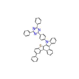 c1ccc(-c2ccc3sc4c(c3c2)c2ccccc2c2c3ccccc3n(-c3ccc(-c5nc(-c6ccccc6)nc(-c6ccccc6)n5)cc3)c42)cc1